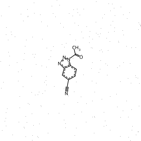 CC(=O)n1nnc2cc(C#N)ccc21